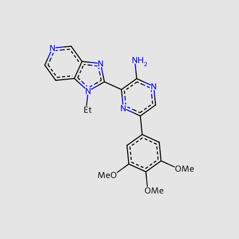 CCn1c(-c2nc(-c3cc(OC)c(OC)c(OC)c3)cnc2N)nc2cnccc21